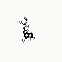 CSC(=NC#N)NCC1Cc2cc(C)c3[nH]c(=O)ccc3c2O1